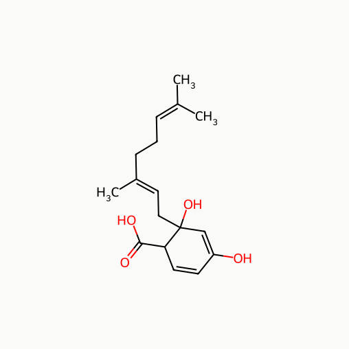 CC(C)=CCC/C(C)=C/CC1(O)C=C(O)C=CC1C(=O)O